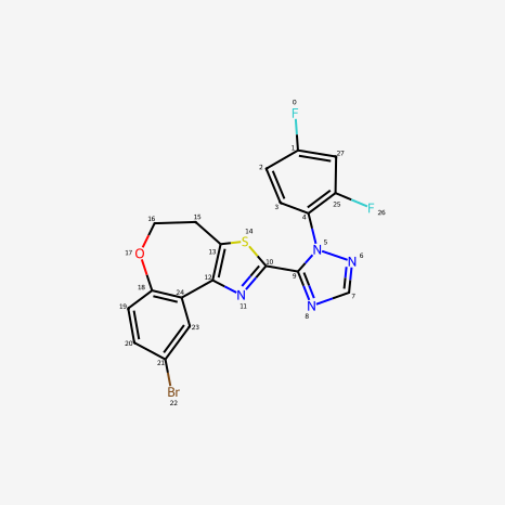 Fc1ccc(-n2ncnc2-c2nc3c(s2)CCOc2ccc(Br)cc2-3)c(F)c1